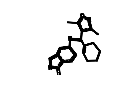 Cc1noc(C)c1/C(=N/c1ccc2[nH]ncc2c1)C1=CCCCC1